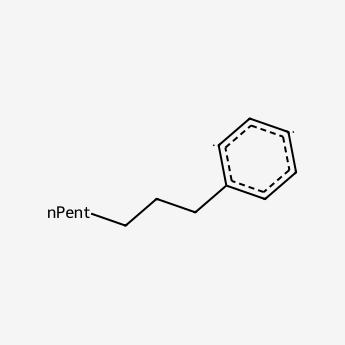 CCCCCCCCc1[c]c[c]cc1